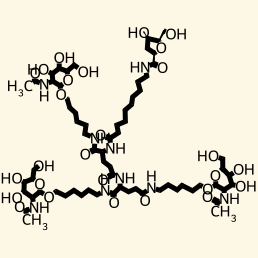 CC(=O)NC1C(OCCCCCCNC(=O)CCC(NC(=O)CCC(NC(=O)CCCCCCCCCNC(=O)[C@H]2C[C@H](O)[C@@H](CO)O2)C(=O)NCCCCCCOC2OC(CO)C(O)C(O)C2NC(C)=O)C(=O)NCCCCCCOC2OC(CO)C(O)C(O)C2NC(C)=O)OC(CO)C(O)C1O